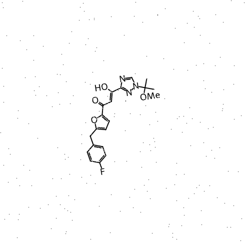 COC(C)(C)n1cnc(C(O)=CC(=O)c2ccc(Cc3ccc(F)cc3)o2)n1